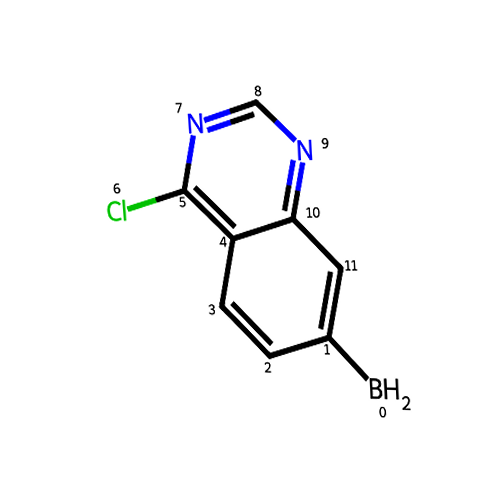 Bc1ccc2c(Cl)ncnc2c1